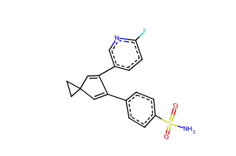 NS(=O)(=O)c1ccc(C2=CC3(C=C2c2ccc(F)nc2)CC3)cc1